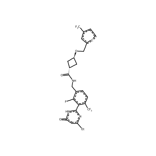 CCc1cc(=O)[nH]c(-c2c(C(F)(F)F)ccc(CNC(=O)[C@H]3C[C@H](OCc4cccc(C(F)(F)F)c4)C3)c2F)n1